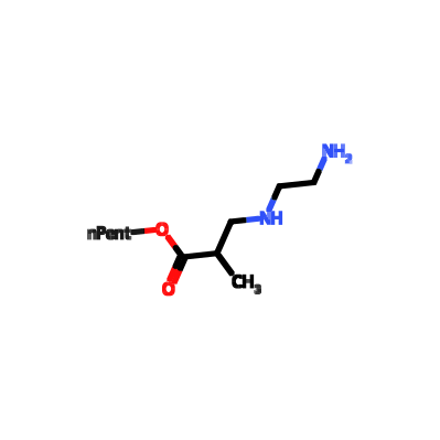 CCCCCOC(=O)C(C)CNCCN